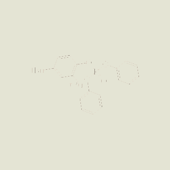 CC(C)(C)c1ccc(OP(=O)(Oc2ccccc2)Oc2ccccc2)c(C(C)(C)C)c1